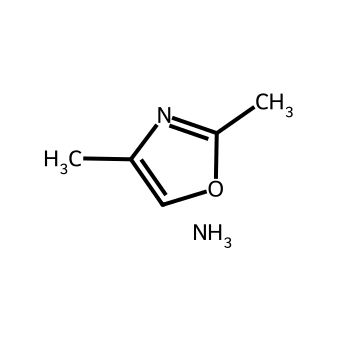 Cc1coc(C)n1.N